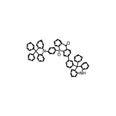 O=C1c2ccccc2P(=O)(c2ccc(N3c4ccccc4C(c4ccccc4)(c4ccccc4)c4ccccc43)cc2)c2cc(-c3cccc(C4(c5ccccc5)c5ccccc5Nc5ccccc54)c3)ccc21